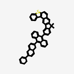 CC1(C)c2ccc(-c3c4ccccc4c(C4=CC=C5C=C(C6=CC=CCC6)C=CC5C4)c4ccccc34)cc2-c2cc3c(ccc4sc5ccccc5c43)cc21